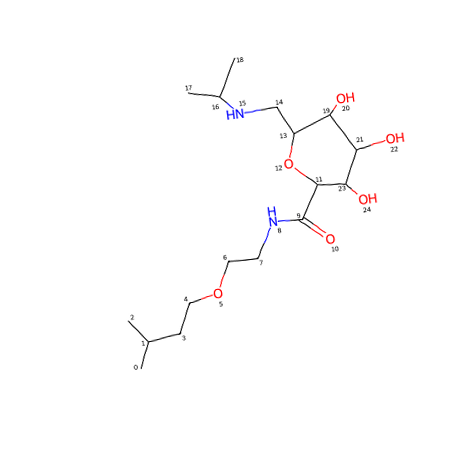 CC(C)CCOCCNC(=O)C1OC(CNC(C)C)C(O)C(O)C1O